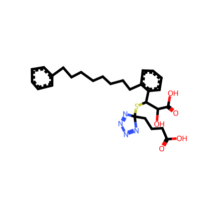 O=C(O)CCCC1(SC(c2ccccc2CCCCCCCCc2ccccc2)C(O)C(=O)O)N=NN=N1